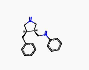 c1ccc(C[C@H]2CNC[C@H]2CNc2ccccc2)cc1